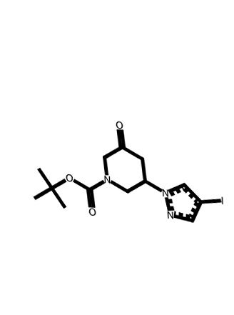 CC(C)(C)OC(=O)N1CC(=O)CC(n2cc(I)cn2)C1